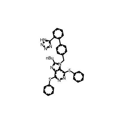 CCCCc1nc2c(Sc3ccccc3)nnc(Sc3ccccc3)c2n1Cc1ccc(-c2ccccc2-c2nnn[nH]2)cc1